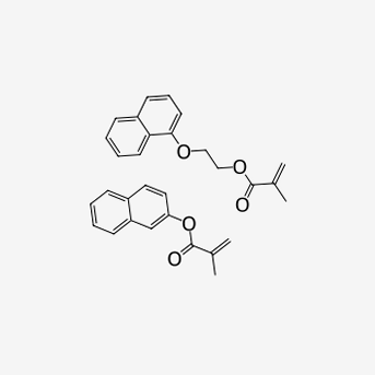 C=C(C)C(=O)OCCOc1cccc2ccccc12.C=C(C)C(=O)Oc1ccc2ccccc2c1